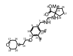 COC(=O)C1(NCNCc2ccc(OCCN3CCOCC3)c(F)c2F)CCCC1